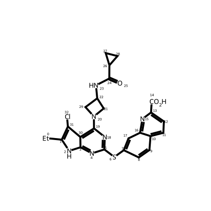 CCc1[nH]c2nc(Sc3ccc4ccc(C(=O)O)nc4c3)nc(N3CC(NC(=O)C4CC4)C3)c2c1Cl